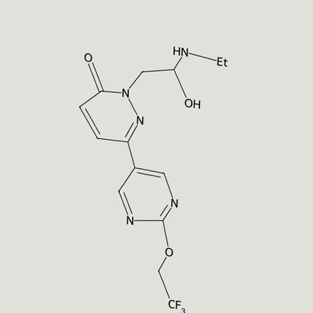 CCNC(O)Cn1nc(-c2cnc(OCC(F)(F)F)nc2)ccc1=O